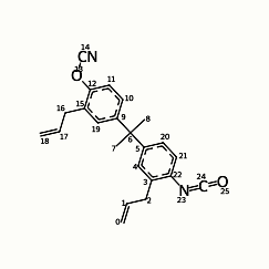 C=CCc1cc(C(C)(C)c2ccc(OC#N)c(CC=C)c2)ccc1N=C=O